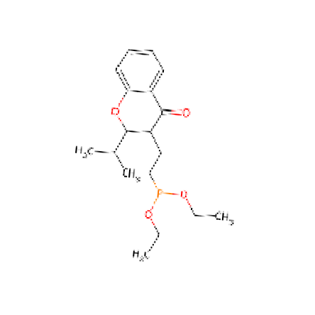 CCOP(CCC1C(=O)c2ccccc2OC1C(C)C)OCC